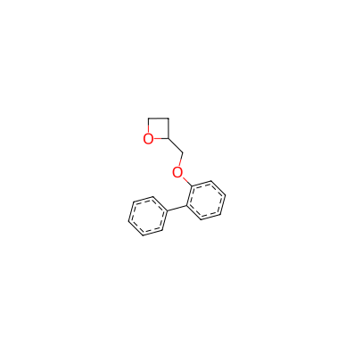 c1ccc(-c2ccccc2OCC2CCO2)cc1